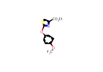 CCOC(=O)c1csc(Oc2ccc(OC(F)(F)F)cc2)n1